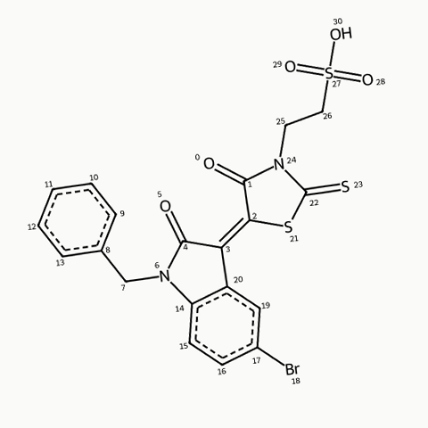 O=C1C(=C2C(=O)N(Cc3ccccc3)c3ccc(Br)cc32)SC(=S)N1CCS(=O)(=O)O